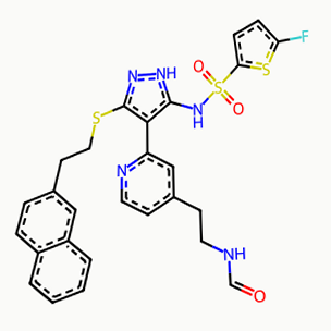 O=CNCCc1ccnc(-c2c(SCCc3ccc4ccccc4c3)n[nH]c2NS(=O)(=O)c2ccc(F)s2)c1